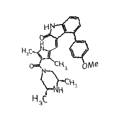 COc1ccc(-c2cccc3c2/C(=C/c2[nH]c(C)c(C(=O)N4C[C@@H](C)N[C@@H](C)C4)c2C)C(=O)N3)cc1